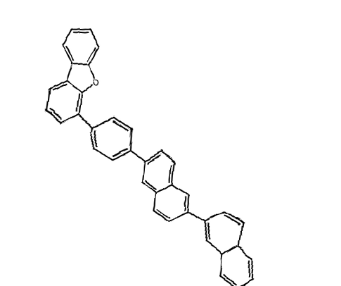 C1=CC2C=CC(c3ccc4cc(-c5ccc(-c6cccc7c6oc6ccccc67)cc5)ccc4c3)=CC2C=C1